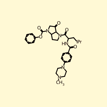 CC(C)CC(NC(=O)c1ccc(N2CCN(C)CC2)cc1)C(=O)N1CCC2C1C(=O)CN2C(=O)Oc1ccccc1